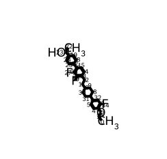 CCOc1ccc(C2CCC(CCc3ccc(-c4ccc(C(C)O)cc4)c(F)c3F)CC2)cc1F